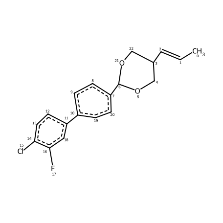 CC=CC1COC(c2ccc(-c3ccc(Cl)c(F)c3)cc2)OC1